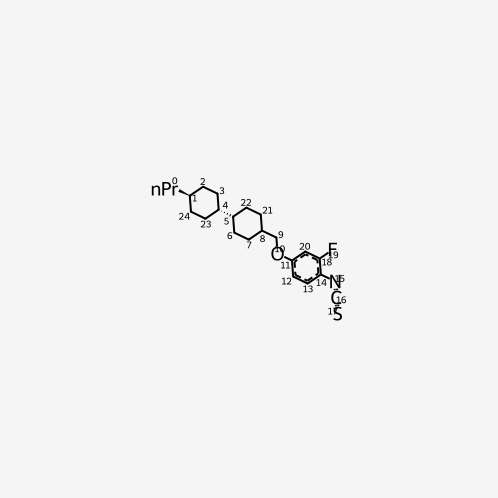 CCC[C@H]1CC[C@H](C2CCC(COc3ccc(N=C=S)c(F)c3)CC2)CC1